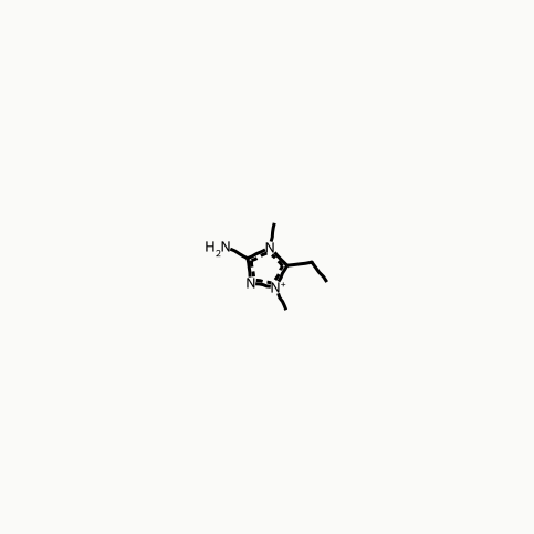 CCc1n(C)c(N)n[n+]1C